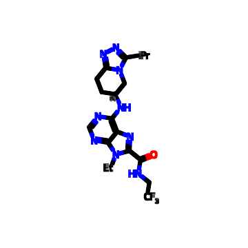 CCn1c(C(=O)NCC(F)(F)F)nc2c(N[C@H]3CCc4nnc(C(C)C)n4C3)ncnc21